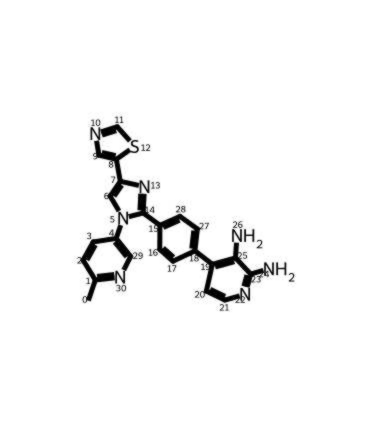 Cc1ccc(-n2cc(-c3cncs3)nc2-c2ccc(-c3ccnc(N)c3N)cc2)cn1